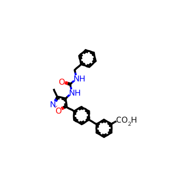 Cc1noc(-c2ccc(-c3cccc(C(=O)O)c3)cc2)c1NC(=O)NCc1ccccc1